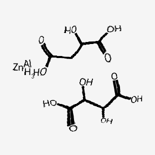 O=C(O)C(O)C(O)C(=O)O.O=C(O)CC(O)C(=O)O.[AlH3].[Zn]